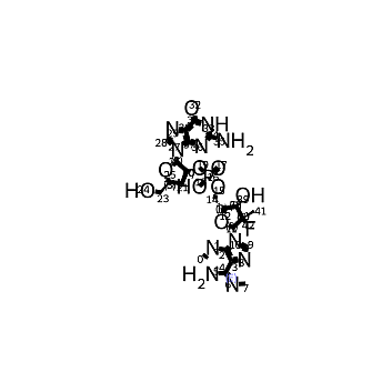 C=Nc1c(/C(N)=N\C)ncn1[C@@H]1O[C@H](COP(=O)(O)O[C@@H]2C[C@@H](CO)O[C@H]2n2cnc3c(=O)[nH]c(N)nc32)[C@@H](O)[C@]1(C)F